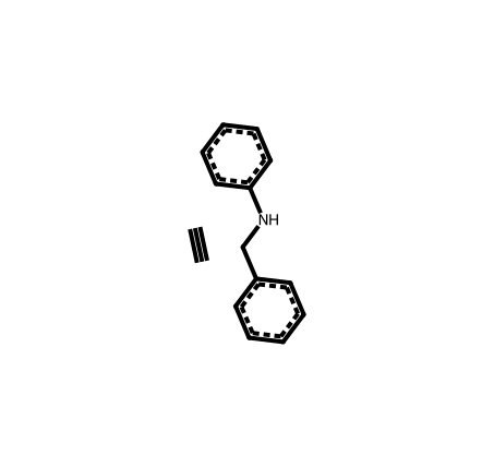 C#C.c1ccc(CNc2ccccc2)cc1